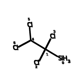 [SiH3]C(Cl)(Cl)C(Cl)Cl